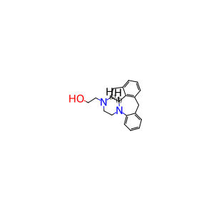 OCCN1CCN2c3ccccc3Cc3cccc4c3[C@H]2[C@@H]1C4